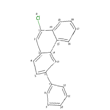 Clc1cc2ccc(-c3ccccc3)cc2c2ccccc12